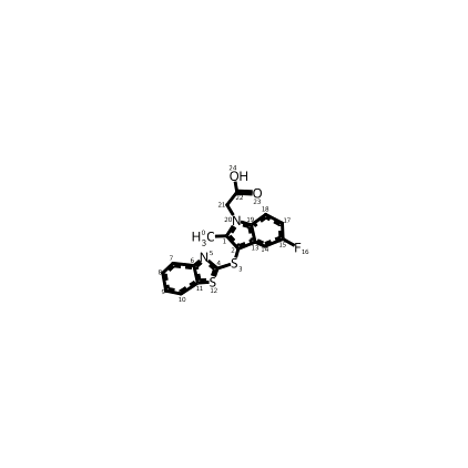 Cc1c(Sc2nc3ccccc3s2)c2cc(F)ccc2n1CC(=O)O